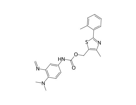 C=Nc1cc(NC(=O)OCc2sc(-c3ccccc3C)nc2C)ccc1N(C)C